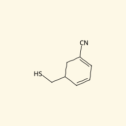 N#CC1=CC=CC(CS)C1